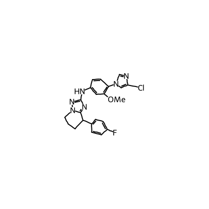 COc1cc(Nc2nc3n(n2)CCCC3c2ccc(F)cc2)ccc1-n1cnc(Cl)c1